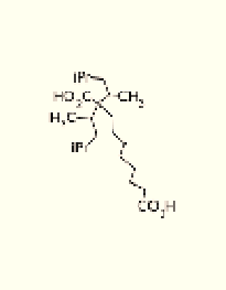 CC(C)CC(C)C(CCCCCCCC(=O)O)(C(=O)O)C(C)CC(C)C